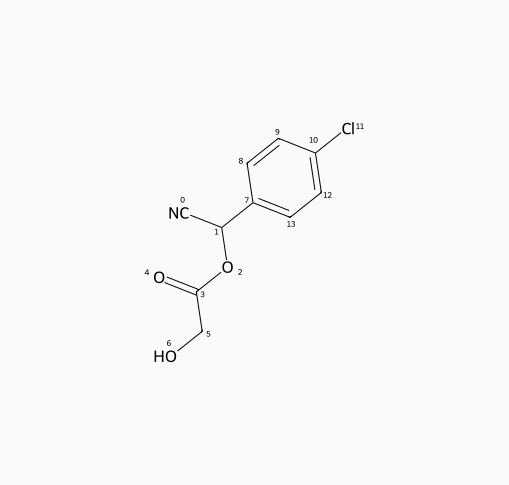 N#CC(OC(=O)CO)c1ccc(Cl)cc1